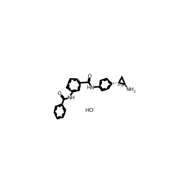 Cl.N[C@@H]1C[C@H]1c1ccc(NC(=O)c2cccc(NC(=O)c3ccccc3)c2)cc1